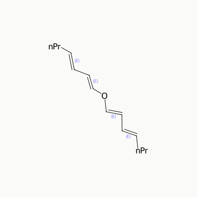 CCC/C=C/C=C/O/C=C/C=C/CCC